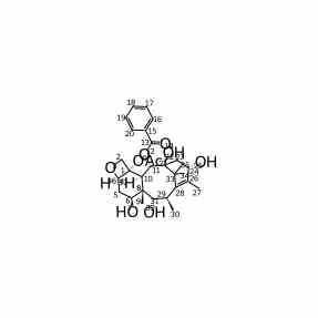 CC(=O)O[C@@]12CO[C@@H]1C[C@H](O)[C@]1(C)[C@@H]2[C@H](OC(=O)c2ccccc2)[C@]2(O)C[C@H](O)C(C)=C([C@@H](C)[C@@H]1O)C2(C)C